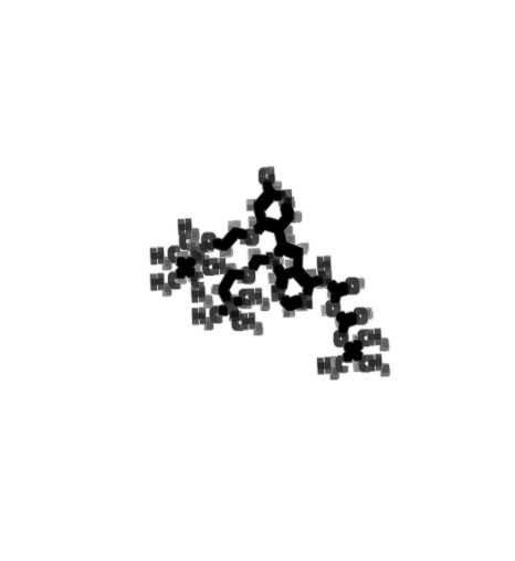 CC(C)(C)OC(=O)OC(=O)Nc1ncnc2c1cc(-c1cnc(Cl)cc1OCCO[Si](C)(C)C(C)(C)C)n2COCC[Si](C)(C)C